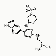 CN(C)CCNc1ncc(-c2cnc3[nH]ccc3n2)c(NC2CCCN(S(C)(=O)=O)C2)n1